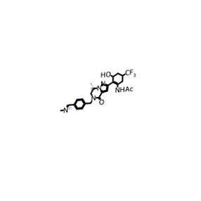 C/N=C/c1ccc(CN2C[C@H](C)n3nc(C4=C(NC(C)=O)CC(C(F)(F)F)CC4O)cc3C2=O)cc1